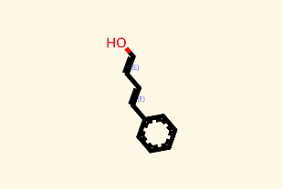 O/C=C/C=C/c1ccccc1